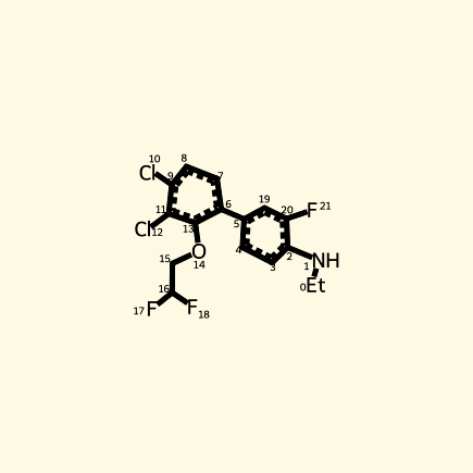 CCNc1ccc(-c2ccc(Cl)c(Cl)c2OCC(F)F)cc1F